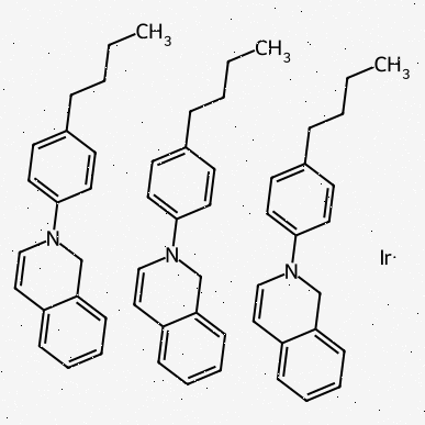 CCCCc1ccc(N2C=Cc3ccccc3C2)cc1.CCCCc1ccc(N2C=Cc3ccccc3C2)cc1.CCCCc1ccc(N2C=Cc3ccccc3C2)cc1.[Ir]